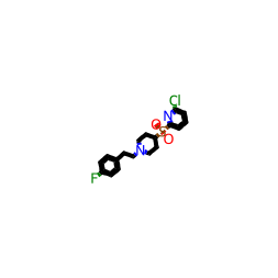 O=S(=O)(c1cccc(Cl)n1)C1CCN(CCc2ccc(F)cc2)CC1